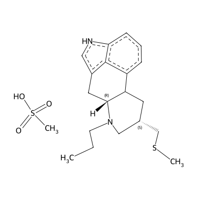 CCCN1C[C@@H](CSC)CC2c3cccc4[nH]cc(c34)C[C@H]21.CS(=O)(=O)O